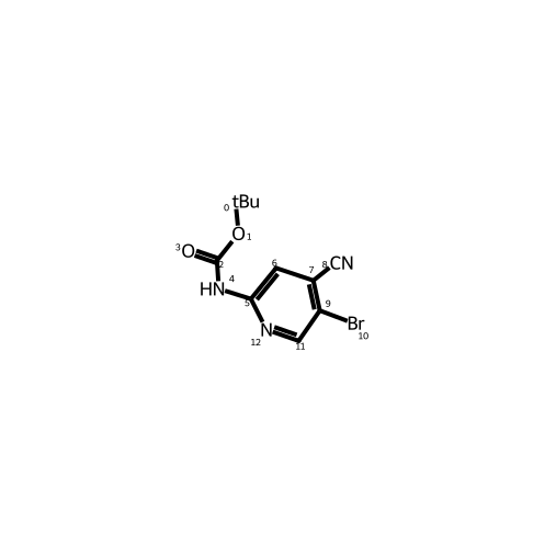 CC(C)(C)OC(=O)Nc1cc(C#N)c(Br)cn1